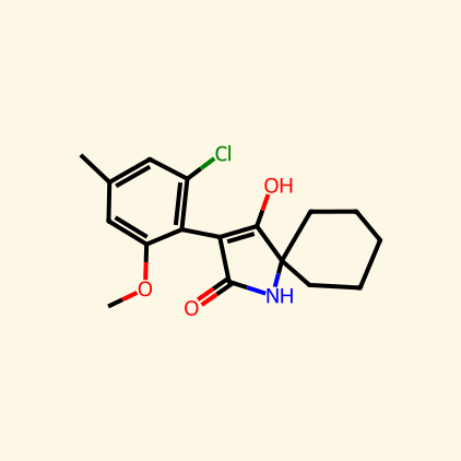 COc1cc(C)cc(Cl)c1C1=C(O)C2(CCCCC2)NC1=O